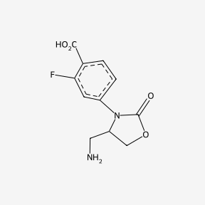 NCC1COC(=O)N1c1ccc(C(=O)O)c(F)c1